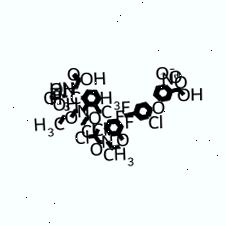 CC1COc2ccccc2N1C(=O)C(Cl)Cl.CCOCN(C(=O)CCl)c1c(C)cccc1CC.O=C(O)CNCP(=O)(O)O.O=C(O)c1cc(Oc2ccc(C(F)(F)F)cc2Cl)ccc1[N+](=O)[O-]